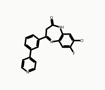 O=C1CC(c2cccc(-c3ccncc3)c2)=Nc2cc(F)c(Cl)cc2N1